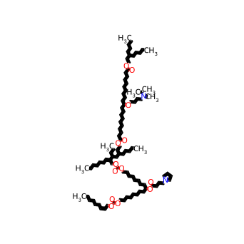 CCCCCC/C=C\COC(=O)OCCCCCCCCC(CCCCCCCCOC(=O)OC/C(=C\CCCCCC)C(CCC)CC(CCCCC)CCOC(=O)CCCCCCCCCC(CCCCCCCCCC(=O)OCCC(CCCCC)CCCCC)OCCCCN(C)C(C)C)OC(=O)CCCN1CCCC1